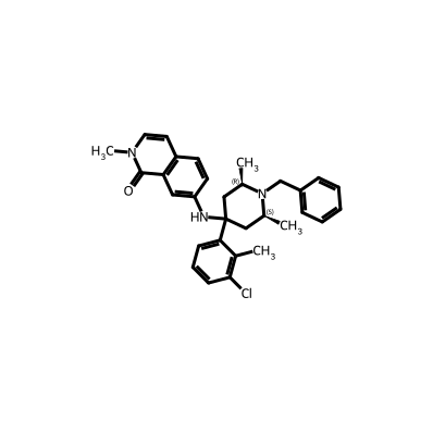 Cc1c(Cl)cccc1C1(Nc2ccc3ccn(C)c(=O)c3c2)C[C@@H](C)N(Cc2ccccc2)[C@@H](C)C1